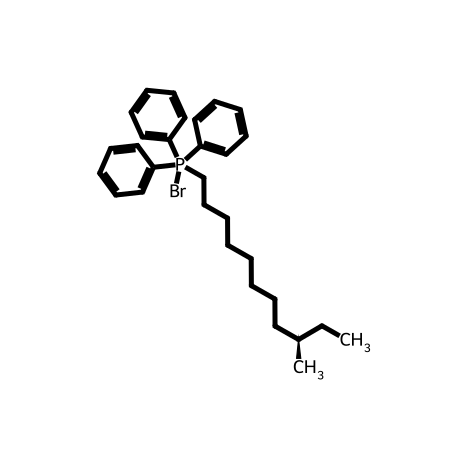 CC[C@@H](C)CCCCCCCCP(Br)(c1ccccc1)(c1ccccc1)c1ccccc1